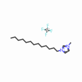 CCCCCCCCCCCCC[n+]1ccn(C)c1.F[B-](F)(F)F